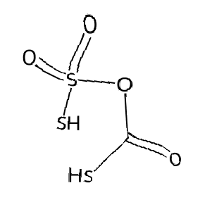 O=C(S)OS(=O)(=O)S